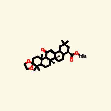 CCCCOC(=O)[C@@H]1CC(C)(C)CC2C3=CC(=O)C4[C@@]5(C)CCC6(OCCO6)C(C)(C)C5CC[C@@]4(C)[C@]3(C)CCC21